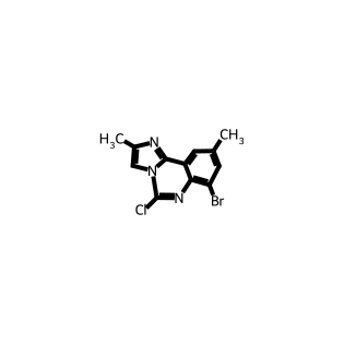 Cc1cc(Br)c2nc(Cl)n3cc(C)nc3c2c1